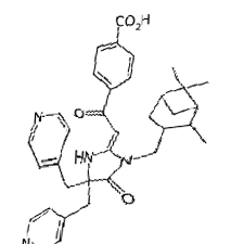 CC1C(CN2C(=O)C(Cc3ccncc3)(Cc3ccncc3)NC2=CC(=O)c2ccc(C(=O)O)cc2)CC2CC1C2(C)C